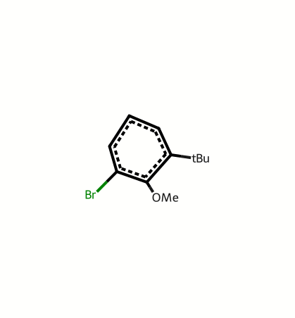 COc1c(Br)cccc1C(C)(C)C